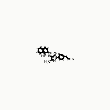 CC1=NN(c2ccc(CCC#N)cc2)C(=O)/C1=N\Nc1ccc2ccccc2c1O